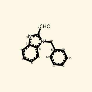 O=Cc1nc2ccccc2n1Cc1ccccc1